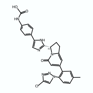 Cc1ccc(-n2cc(Cl)nn2)c(-c2cc3n(c(=O)c2)[C@H](c2ncc(-c4ccc(NC(=O)O)cc4)[nH]2)CC3)c1